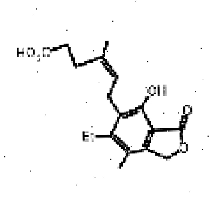 CCc1c(C)c2c(c(O)c1CC=C(C)CCC(=O)O)C(=O)OC2